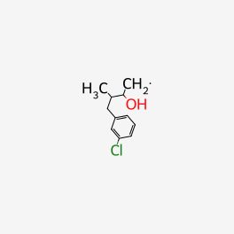 [CH2]C(O)C(C)Cc1cccc(Cl)c1